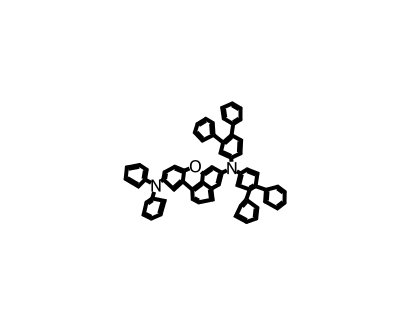 c1ccc(-c2ccc(N(c3ccc(-c4ccccc4)c(-c4ccccc4)c3)c3cc4c5c(cccc5c3)-c3cc(N(c5ccccc5)c5ccccc5)ccc3O4)cc2-c2ccccc2)cc1